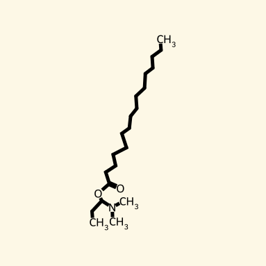 CCCCCCCCCCCCCCCC(=O)OC(CC)N(C)C